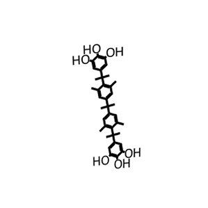 Cc1cc(C(C)(C)c2cc(C)c(C(C)(C)c3cc(O)c(O)c(O)c3)c(C)c2)cc(C)c1C(C)(C)c1cc(O)c(O)c(O)c1